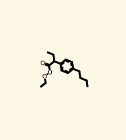 CCCCc1ccc(C(CC)C(=O)OOCC)cc1